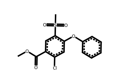 COC(=O)c1cc(S(C)(=O)=O)c(Oc2ccccc2)cc1Cl